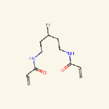 C=CC(=O)NCCC(CC)CCNC(=O)C=C